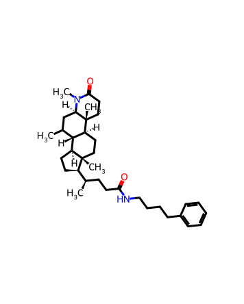 CC1C[C@H]2N(C)C(=O)CC[C@]2(C)[C@H]2CC[C@]3(C)[C@@H]([C@H](C)CCC(=O)NCCCCc4ccccc4)CC[C@H]3[C@H]12